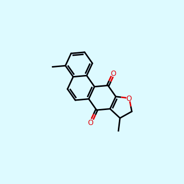 Cc1cccc2c3c(ccc12)C(=O)C1=C(OCC1C)C3=O